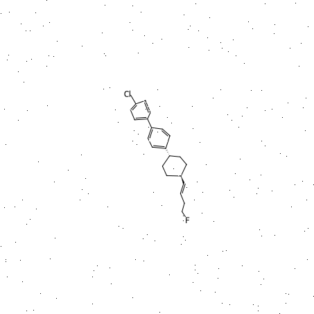 FCC/C=C/[C@H]1CC[C@H](c2ccc(-c3ccc(Cl)cc3)cc2)CC1